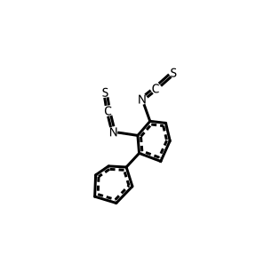 S=C=Nc1cccc(-c2ccccc2)c1N=C=S